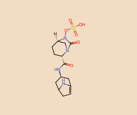 O=C(N[C@H]1CC2=CCC(C1)N2)[C@@H]1CC[C@@H]2CN1C(=O)N2OS(=O)(=O)O